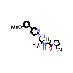 COc1cccc(-c2ccc(NCC(C)(C)NCC(=O)N3CCC[C@H]3C#N)nc2)c1